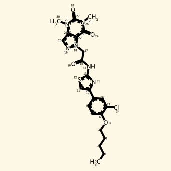 CCCCCOc1ccc(-c2csc(NC(=O)Cn3ncc4c3c(=O)n(C)c(=O)n4C)n2)cc1Cl